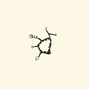 CC(C)(C)c1c(C(F)F)ccc(Cl)c1F